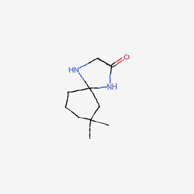 CC1(C)CCCC2(C1)NCC(=O)N2